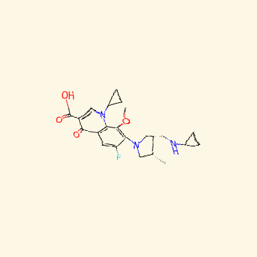 COc1c(N2C[C@H](CNC3CC3)[C@H](C)C2)c(F)cc2c(=O)c(C(=O)O)cn(C3CC3)c12